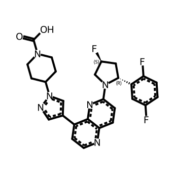 O=C(O)N1CCC(n2cc(-c3ccnc4ccc(N5C[C@@H](F)C[C@@H]5c5cc(F)ccc5F)nc34)cn2)CC1